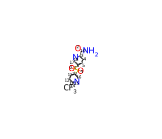 NC(=O)c1ccc(S(=O)(=O)c2ccc(C(F)(F)F)nc2)cn1